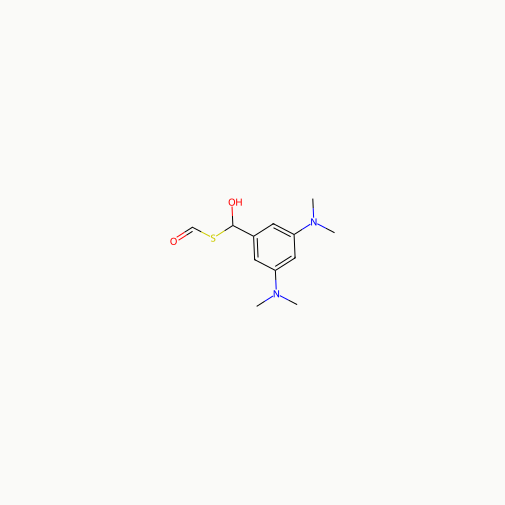 CN(C)c1cc(C(O)SC=O)cc(N(C)C)c1